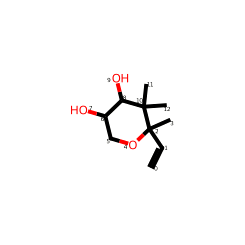 C=CC1(C)OCC(O)C(O)C1(C)C